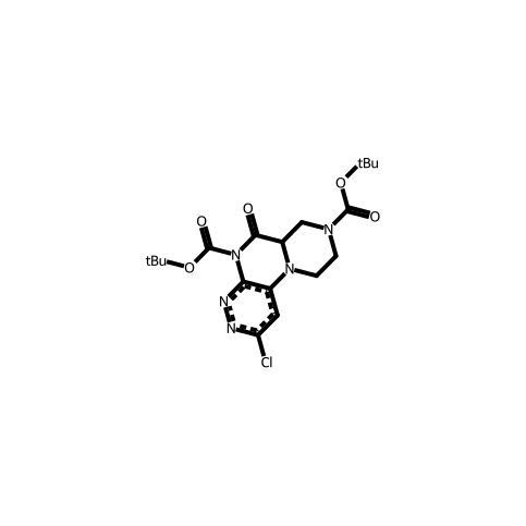 CC(C)(C)OC(=O)N1CCN2c3cc(Cl)nnc3N(C(=O)OC(C)(C)C)C(=O)C2C1